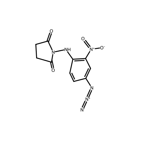 [N-]=[N+]=Nc1ccc(NN2C(=O)CCC2=O)c([N+](=O)[O-])c1